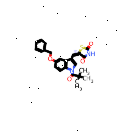 CC(C)(C)C(=O)n1cc(/C=C2/SC(=O)NC2=O)c2cc(OCc3ccccc3)ccc21